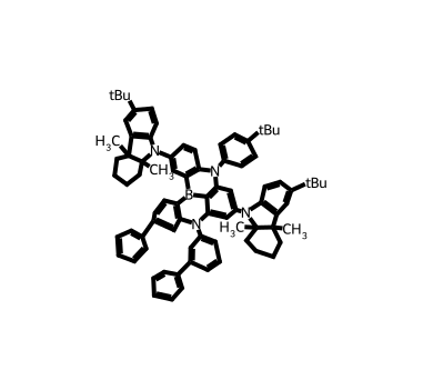 CC(C)(C)c1ccc(N2c3ccc(N4c5ccc(C(C)(C)C)cc5C5(C)CCCCC45C)cc3B3c4ccc(-c5ccccc5)cc4N(c4cccc(-c5ccccc5)c4)c4cc(N5c6ccc(C(C)(C)C)cc6C6(C)CCCCC56C)cc2c43)cc1